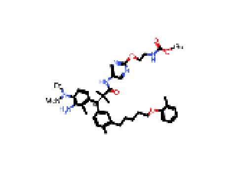 CCN(NC)c1ccc([C@H](c2ccc(C)c(CCCCCOc3ccccc3C)c2)C(C)(C)C(=O)Nc2cnc(OCCNC(=O)OC(C)(C)C)nc2)c(C)c1N